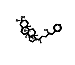 CC[C@]1(O)CC[C@@]2(C)C(=CC[C@H]3[C@@H]4CC[C@H]([C@H](C)CC[C@@H](O)Cc5ccccc5)[C@@]4(C)CC[C@@H]32)C1